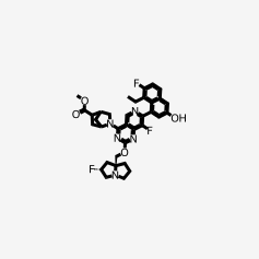 CCc1c(F)ccc2cc(O)cc(-c3ncc4c(N5CC6CC5CC6C(=O)OC)nc(OC[C@@]56CCCN5C[C@H](F)C6)nc4c3F)c12